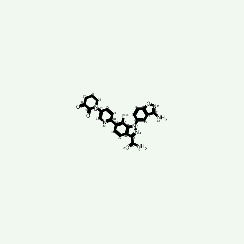 NC(=O)c1nn(-c2ccc3onc(N)c3c2)c2c(F)c(-c3ccc(N4CCCC(=O)C4=O)cn3)ccc12